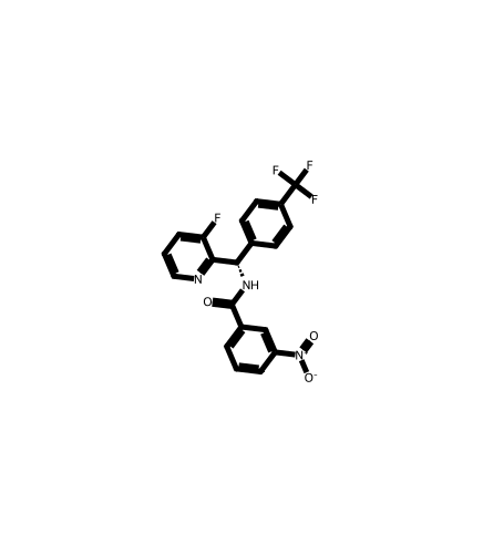 O=C(N[C@@H](c1ccc(C(F)(F)F)cc1)c1ncccc1F)c1cc[c]c([N+](=O)[O-])c1